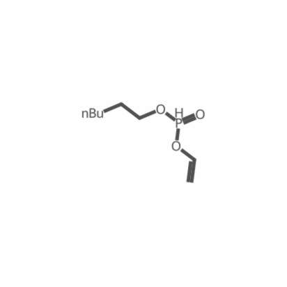 C=CO[PH](=O)OCCCCCC